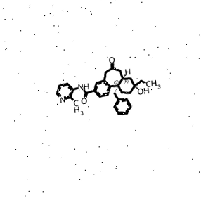 CC[C@@]1(O)CC[C@@]2(Cc3ccccc3)c3ccc(C(=O)Nc4cccnc4C)cc3CC(=O)C[C@H]2C1